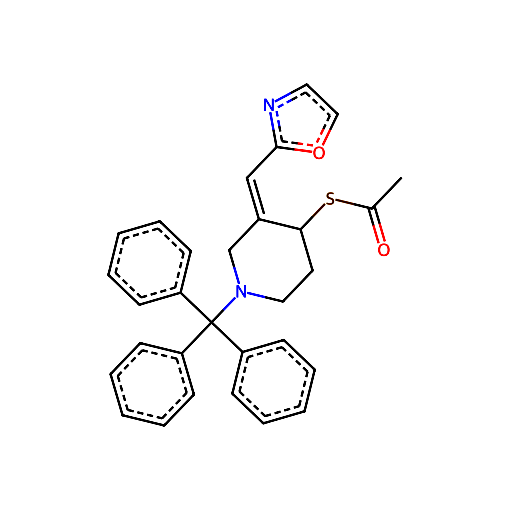 CC(=O)SC1CCN(C(c2ccccc2)(c2ccccc2)c2ccccc2)CC1=Cc1ncco1